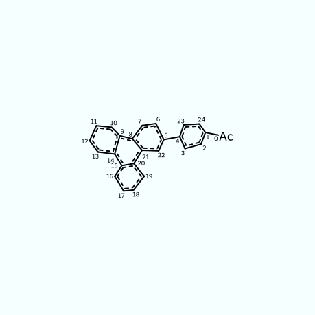 CC(=O)c1ccc(-c2ccc3c4ccccc4c4ccccc4c3c2)cc1